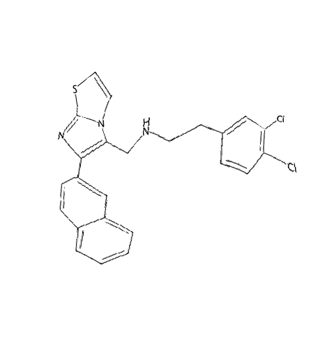 Clc1ccc(CCNCc2c(-c3ccc4ccccc4c3)nc3sccn23)cc1Cl